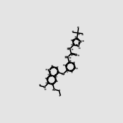 CCOc1cc2c(Oc3cccc(NC(=O)Nc4cc(C(C)(C)C)no4)c3)ccnc2cc1OC